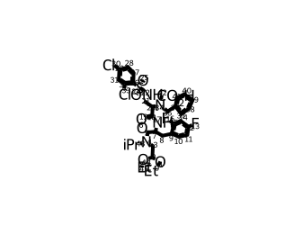 CCOC(CN(C(=O)C(Cc1ccc(F)cc1F)NC(=O)C(CNS(=O)(=O)c1ccc(Cl)cc1Cl)N(Cc1ccccc1)C(=O)O)C(C)C)OCC